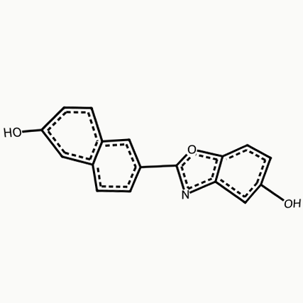 Oc1ccc2cc(-c3nc4cc(O)ccc4o3)ccc2c1